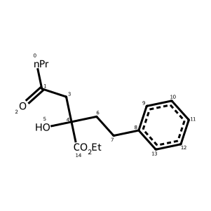 CCCC(=O)CC(O)(CCc1ccccc1)C(=O)OCC